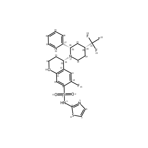 O=S(=O)(Nc1nccs1)c1cc2c(cc1F)[C@@H](N1CC[C@@H](C(F)(F)F)C[C@H]1c1ccccn1)CCO2